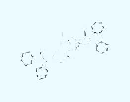 O=C(N[C@H]1CO[P@](=O)(CCCCC2(C(=O)NCC(F)(F)F)c3ccccc3-c3ccccc32)OC1)c1ccccc1-c1ccccn1